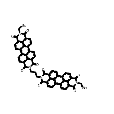 CCC(C)CN1C(=O)c2ccc3c4ccc5c6c(ccc(c7ccc(c2c37)C1=O)c64)C(=O)N(CCCN1C(=O)c2ccc3c4ccc6c7c(ccc(c8ccc(c2c38)C1=O)c74)C(=O)N(CC(C)CC)C6=O)C5=O